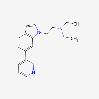 CCN(CC)CCn1ccc2ccc(-c3cccnc3)cc21